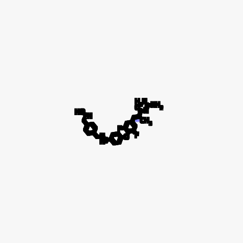 C/C(=C\c1cc(F)c(Oc2ccc(SNCc3ccc(CPO)cc3)cc2)c(F)c1)C(=O)N=C(N)N